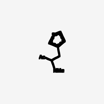 CNC(Cc1ccsc1)C(C)=O